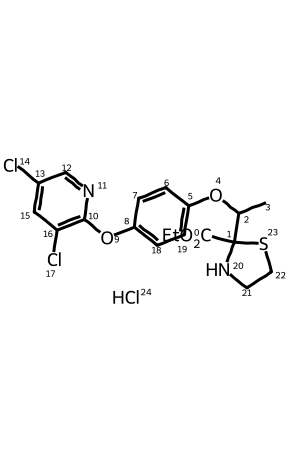 CCOC(=O)C1(C(C)Oc2ccc(Oc3ncc(Cl)cc3Cl)cc2)NCCS1.Cl